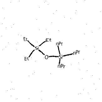 CCC[Si](CCC)(CCC)O[Si](CC)(CC)CC